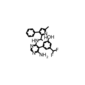 Cc1cc(-c2ccccc2)c(C(C)Nc2ncnc(N)c2-c2cc(O)cc(C(F)F)c2)[nH]1